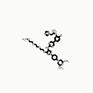 COCCOCCOCCOc1nn(C2CCC(N3C[C@@H](C)O[C@@H](C)C3)CC2)cc1Nc1ncc(-c2ccc(Cl)c(O[C@@H](C)Cn3cncn3)c2)cn1